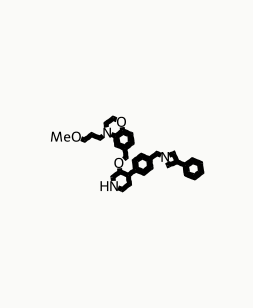 COCCCN1CCOc2ccc(COC3CNCCC3c3ccc(CN4CC(c5ccccc5)C4)cc3)cc21